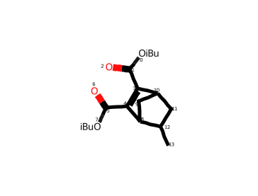 CC(C)COC(=O)C1=C(C(=O)OCC(C)C)C2CC1CC2C